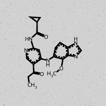 CCC(=O)c1cnc(NC(=O)C2CC2)cc1Nc1ccc2[nH]cnc2c1OC